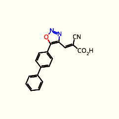 N#C/C(=C\c1nnoc1-c1ccc(-c2ccccc2)cc1)C(=O)O